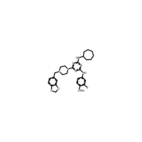 COc1ccc(Nc2nc(NC3CCCCCC3)nc(N3CCN(Cc4ccc5c(c4)OCO5)CC3)n2)cc1F